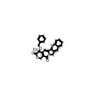 CC[C@@]1(OCc2ccccc2)C(=O)OCc2c1cc1n(c2=O)Cc2cc3ccccc3nc2-1